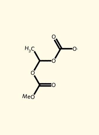 COC(=O)OC(C)OC([O])=O